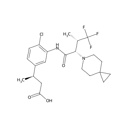 C[C@H](CC(=O)O)c1ccc(Cl)c(NC(=O)[C@H]([C@H](C)C(F)(F)F)N2CCC3(CC2)CC3)c1